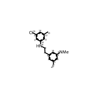 CNc1cc(F)cc(CCNc2cc(C)cc(Cl)c2)c1